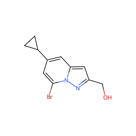 OCc1cc2cc(C3CC3)cc(Br)n2n1